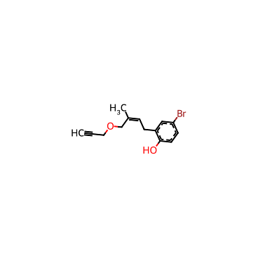 C#CCOCC(C)=CCc1cc(Br)ccc1O